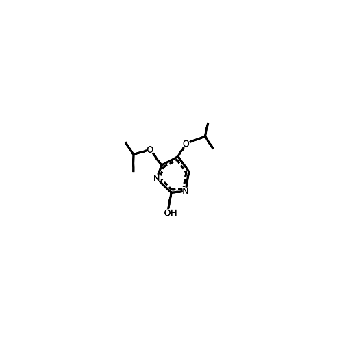 CC(C)Oc1cnc(O)nc1OC(C)C